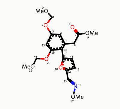 COCOc1cc(CC(=O)OC)c(-c2ccc(/C=N/OC)o2)c(OCOC)c1